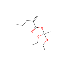 C=C(CCC)C(=O)O[Si](C)(OCC)OCC